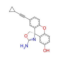 NC1=N[C@]2(CO1)c1cc(O)ccc1Oc1ccc(C#CC3CC3)cc12